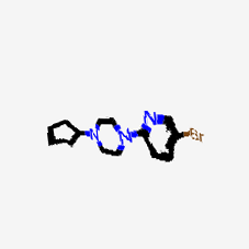 Brc1ccc(N2CCN(C3CCCC3)CC2)nc1